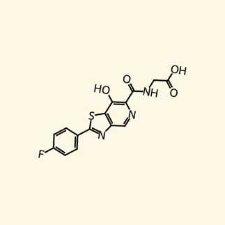 O=C(O)CNC(=O)c1ncc2nc(-c3ccc(F)cc3)sc2c1O